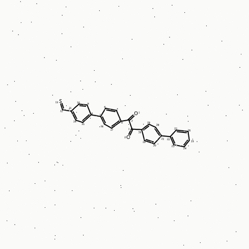 O=C(C(=O)c1ccc(-c2ccc(C=S)cc2)cc1)c1ccc(-c2ccccc2)cc1